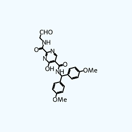 COc1ccc(C(NC(=O)c2cnc(C(=O)NCC=O)nc2O)c2ccc(OC)cc2)cc1